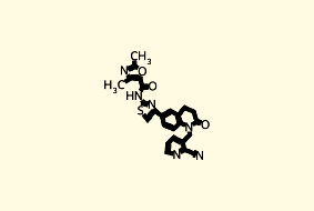 Cc1nc(C)c(C(=O)Nc2nc(-c3ccc4c(c3)CCC(=O)N4Cc3cccnc3C#N)cs2)o1